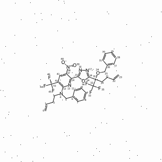 C=CCCN(Cc1ccccc1)c1nc(-c2nnc(C(CCC=C)(OCc3ccccc3)C(F)(F)F)o2)c([N+](=O)[O-])cc1C(F)(F)F